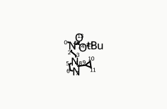 CN(CCN1CCN=C1C1CC1)C(=O)OC(C)(C)C